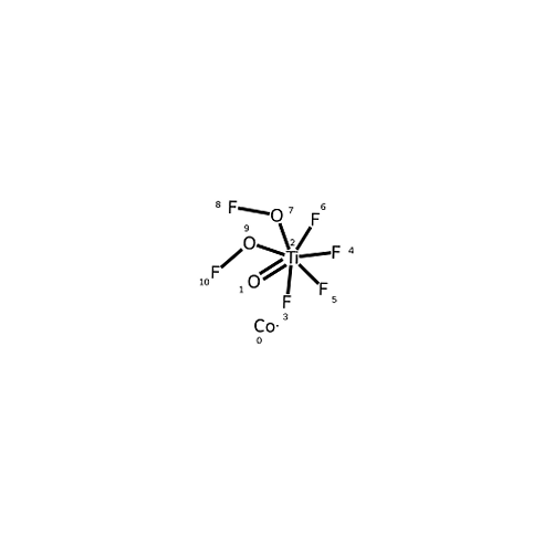 [Co].[O]=[Ti]([F])([F])([F])([F])([O]F)[O]F